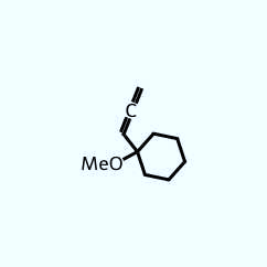 C=C=CC1(OC)CCCCC1